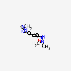 CCCN(Cc1ncc(-c2ccc3cc(-c4ccc(-c5cnc(C6CCCN6C)[nH]5)cc4)ccc3c2)[nH]1)C(=O)CC